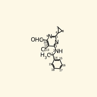 CC(Nc1nc(C2CC2)nc(C=O)c1Cl)c1ccccc1